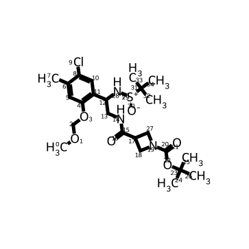 COCOc1cc(C)c(Cl)cc1C(CNC(=O)C1CN(C(=O)OC(C)(C)C)C1)N[S@@+]([O-])C(C)(C)C